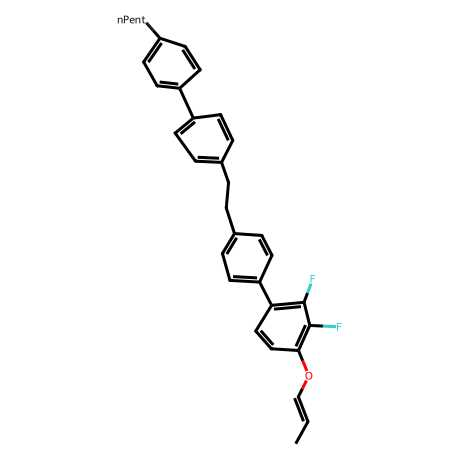 C/C=C/Oc1ccc(-c2ccc(CCc3ccc(-c4ccc(CCCCC)cc4)cc3)cc2)c(F)c1F